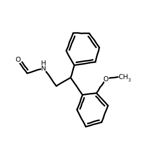 COc1ccccc1C(CNC=O)c1ccccc1